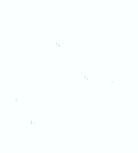 C=C(CCC)C1=C(c2cc(C)c(Br)c(F)c2CCC)C2(CN(C(=O)OC(C)(C)C)C2)C(=O)N1